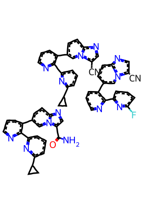 N#Cc1cnc2ccc(-c3cccnc3-c3cccc(C4CC4)n3)cn12.N#Cc1cnc2ccc(-c3cccnc3-c3cccc(F)n3)cn12.NC(=O)c1cnc2ccc(-c3cccnc3-c3cccc(C4CC4)n3)cn12